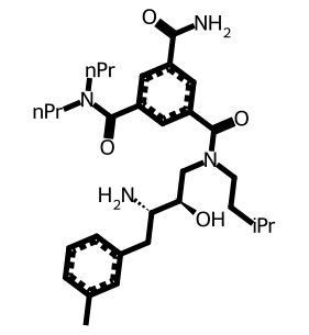 CCCN(CCC)C(=O)c1cc(C(N)=O)cc(C(=O)N(CCC(C)C)C[C@@H](O)[C@@H](N)Cc2cccc(C)c2)c1